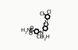 NS(=O)(=O)c1ccc(Nc2ccc3c(c2)CN(c2ccc(Cl)c(Cl)c2)C3)c(C(=O)O)c1